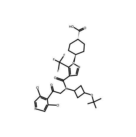 CC(C)(C)OC1CC(N(CC(=O)c2c(Cl)cncc2Cl)C(=O)c2cnn([C@H]3CC[C@H](C(=O)O)CC3)c2C(F)(F)F)C1